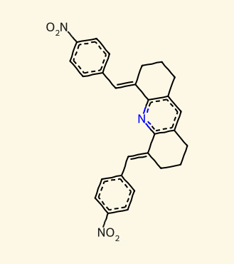 O=[N+]([O-])c1ccc(C=C2CCCc3cc4c(nc32)C(=Cc2ccc([N+](=O)[O-])cc2)CCC4)cc1